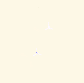 CCCCN(CCC(=O)N(Cc1cccs1)Cc1cccs1)C(=O)O